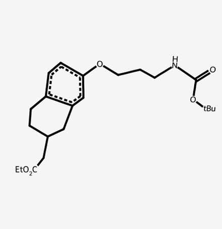 CCOC(=O)CC1CCc2ccc(OCCCNC(=O)OC(C)(C)C)cc2C1